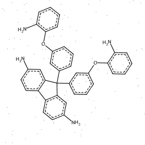 Nc1ccc2c(c1)C(c1cccc(Oc3ccccc3N)c1)(c1cccc(Oc3ccccc3N)c1)c1cc(N)ccc1-2